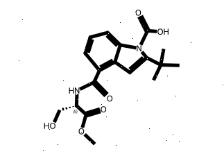 COC(=O)[C@H](CO)NC(=O)c1cccc2c1cc(C(C)(C)C)n2C(=O)O